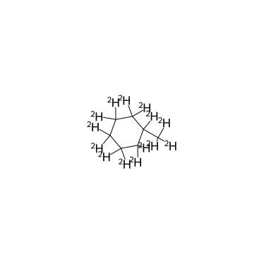 [2H]C([2H])([2H])C1([2H])C([2H])([2H])C([2H])([2H])C([2H])([2H])C([2H])([2H])C1([2H])[2H]